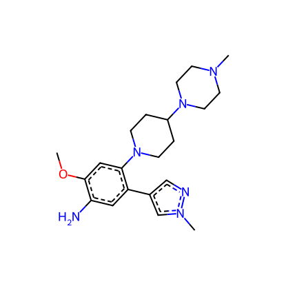 COc1cc(N2CCC(N3CCN(C)CC3)CC2)c(-c2cnn(C)c2)cc1N